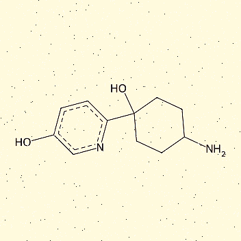 NC1CCC(O)(c2ccc(O)cn2)CC1